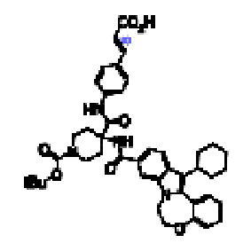 CC(C)(C)OC(=O)N1CCC(NC(=O)c2ccc3c(C4CCCCC4)c4n(c3c2)CCOc2ccccc2-4)(C(=O)Nc2ccc(/C=C/C(=O)O)cc2)CC1